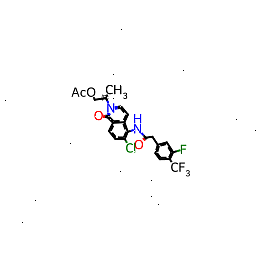 CC(=O)OC[C@@H](C)n1ccc2c(NC(=O)Cc3ccc(C(F)(F)F)c(F)c3)c(Cl)ccc2c1=O